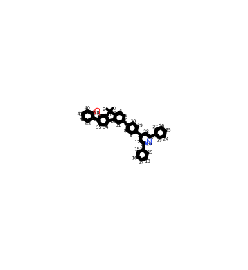 CC1(C)c2ccc(-c3ccc(-c4cc(-c5ccccc5)nc(-c5ccccc5)c4)cc3)cc2-c2ccc3c(oc4ccccc43)c21